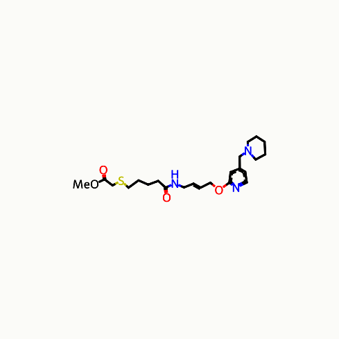 COC(=O)CSCCCCC(=O)NCC=CCOc1cc(CN2CCCCC2)ccn1